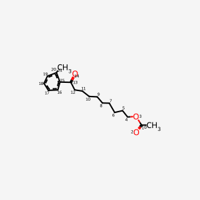 CC(=O)OCCCCCCCCCC(=O)c1ccccc1C